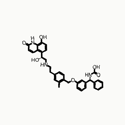 Cc1cc(CCNC[C@H](O)c2ccc(O)c3[nH]c(=O)ccc23)ccc1COc1cccc([C@@H](NC(=O)O)c2ccccc2)c1